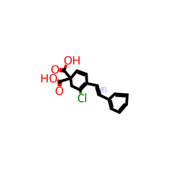 O=C(O)C1(C(=O)O)C=CC(/C=C/c2ccccc2)=C(Cl)C1